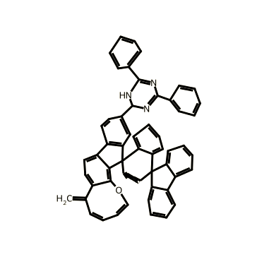 C=C1/C=C\C=C/Oc2c1ccc1c2C2(c3cc(C4N=C(c5ccccc5)N=C(c5ccccc5)N4)ccc3-1)c1ccccc1C1(c3ccccc3-c3ccccc31)c1ccccc12